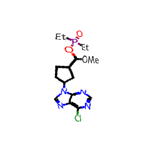 CCP(=O)(CC)OC(OC)C1CCC(n2cnc3c(Cl)ncnc32)C1